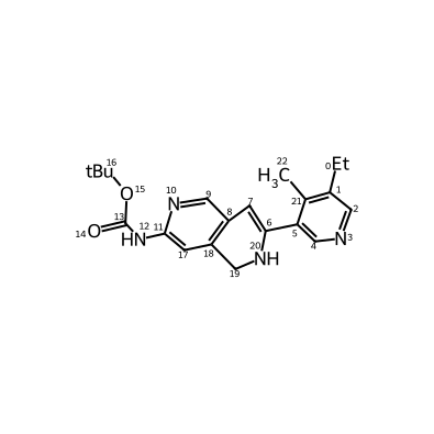 CCc1cncc(C2=Cc3cnc(NC(=O)OC(C)(C)C)cc3CN2)c1C